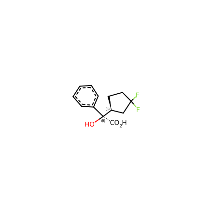 O=C(O)[C@](O)(c1ccccc1)[C@H]1CCC(F)(F)C1